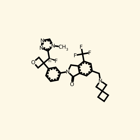 Cn1cnnc1[C@@H](F)C1(c2cccc(N3Cc4c(cc(CN5CC6(CCC6)C5)cc4C(F)(F)F)C3=O)c2)COC1